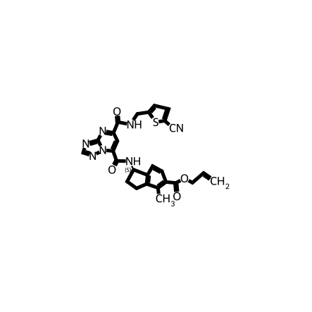 C=CCOC(=O)c1ccc2c(c1C)CC[C@@H]2NC(=O)c1cc(C(=O)NCc2ccc(C#N)s2)nc2ncnn12